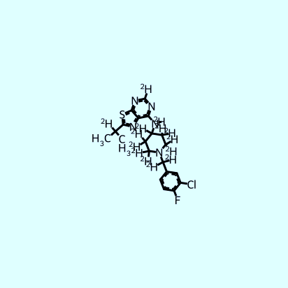 [2H]c1nc(N([2H])C2([2H])C([2H])([2H])C([2H])([2H])N(C([2H])([2H])c3ccc(F)c(Cl)c3)C([2H])([2H])C2([2H])[2H])c2nc(C([2H])(C)C)sc2n1